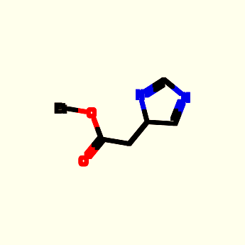 CCOC(=O)CC1C=NC=N1